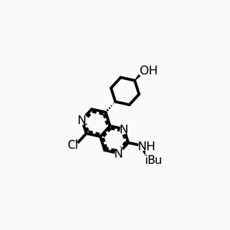 CC[C@H](C)Nc1ncc2c(Cl)ncc([C@H]3CC[C@H](O)CC3)c2n1